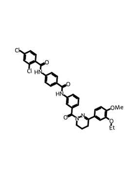 CCOc1cc(C2=NN(C(=O)c3cccc(NC(=O)c4ccc(NC(=O)c5ccc(Cl)cc5Cl)cc4)c3)CCC2)ccc1OC